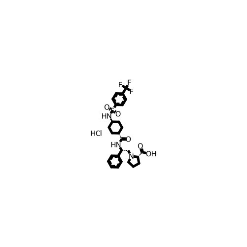 Cl.O=C(O)[C@@H]1CCCN1C[C@@H](NC(=O)[C@H]1CC[C@H](NS(=O)(=O)c2ccc(C(F)(F)F)cc2)CC1)c1ccccc1